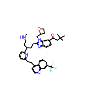 CNCCC(CCc1nc2ccc(C(=O)CC(C)(C)C)cc2n1CC1CCO1)c1cccc(CCc2ccnc3c2C=CCC(C(F)(F)F)=C3)n1